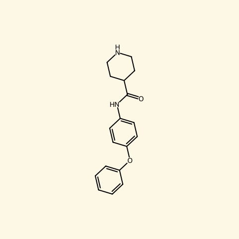 O=C(Nc1ccc(Oc2ccccc2)cc1)C1CCNCC1